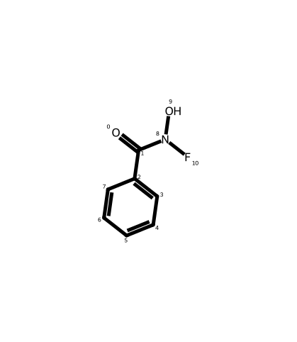 O=C(c1ccccc1)N(O)F